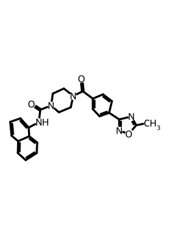 Cc1nc(-c2ccc(C(=O)N3CCN(C(=O)Nc4cccc5ccccc45)CC3)cc2)no1